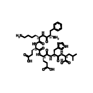 CC(C)C[C@H](NC(=O)[C@H](Cc1c[nH]cn1)NC(=O)[C@H](CCC(=O)O)NC(=O)[C@H](CCC(=O)O)NC(=O)[C@H](CCCCN)NC(=O)[C@@H](N)Cc1ccccc1)C(=O)O